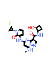 CNc1cc(Nc2cccn([C@H]3C[C@@H]3F)c2=O)nc2c(C(=O)NC3CC[C@@H]3O)cnn12